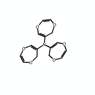 C1=COCC(N(C2=COC=COC2)C2=COC=COC2)=CO1